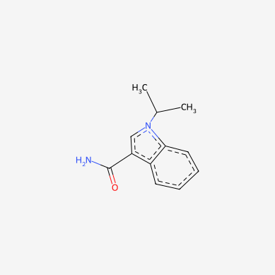 CC(C)n1cc(C(N)=O)c2ccccc21